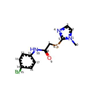 Cn1ccnc1SCC(=O)Nc1ccc(Br)cc1